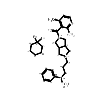 Cc1ccnc(C)c1C(=O)N1CC2CN(CCCN(C(=O)O)c3ccccc3)CC2C1.FC1(F)CCCCC1